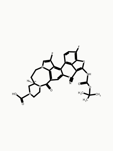 CC(C)(C)OC(=O)Nc1sc2c(F)ccc(-c3c(F)cc4c5c3c(F)cn5CC[C@@H]3CN(C(=O)O)CCN3C4=O)c2c1C#N